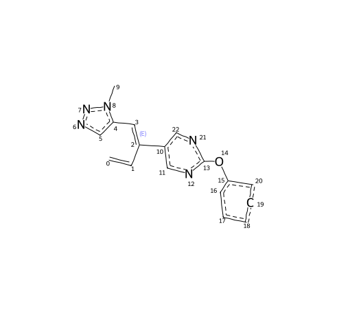 C=C/C(=C\c1cnnn1C)c1cnc(Oc2ccccc2)nc1